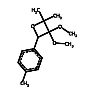 COC1(OC)C(c2ccc(C)cc2)OC1(C)C